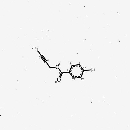 O=C(OCC#CI)c1ccc(I)cc1